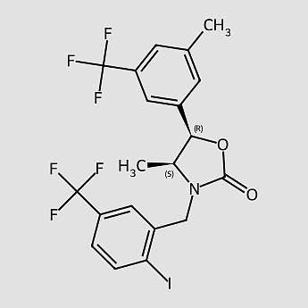 Cc1cc([C@H]2OC(=O)N(Cc3cc(C(F)(F)F)ccc3I)[C@H]2C)cc(C(F)(F)F)c1